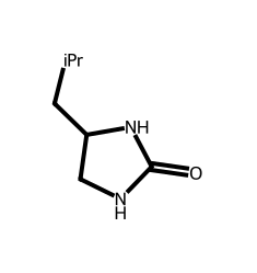 CC(C)CC1CNC(=O)N1